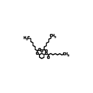 CCCCCCCC(=O)OC1CCCC(OC(=O)CCCCCCC)C1OC(=O)CCCCCCC